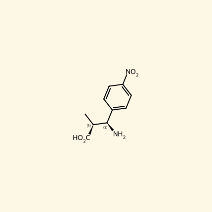 C[C@H](C(=O)O)[C@H](N)c1ccc([N+](=O)[O-])cc1